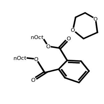 C1COCCO1.CCCCCCCCOC(=O)c1ccccc1C(=O)OCCCCCCCC